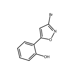 Oc1ccccc1-c1cc(Br)no1